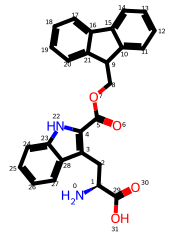 N[C@@H](Cc1c(C(=O)OCC2c3ccccc3-c3ccccc32)[nH]c2ccccc12)C(=O)O